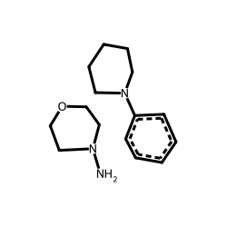 NN1CCOCC1.c1ccc(N2CCCCC2)cc1